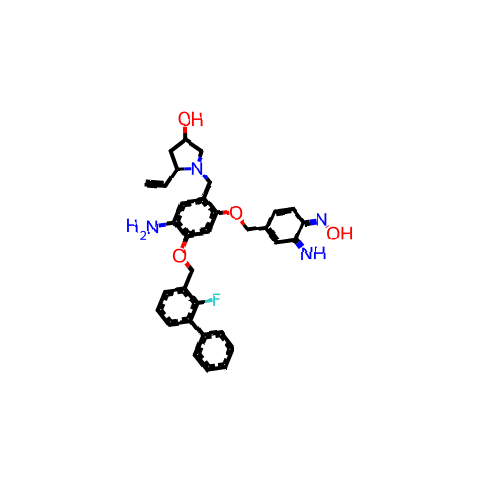 C=CC1CC(O)CN1Cc1cc(N)c(OCc2cccc(-c3ccccc3)c2F)cc1OCC1=CC(=N)/C(=N\O)C=C1